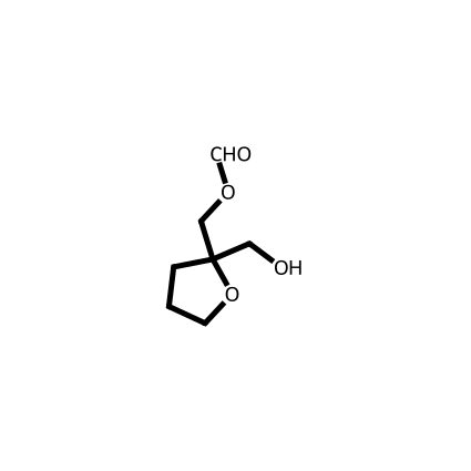 O=COCC1(CO)CCCO1